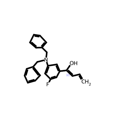 C=C/C=C(\O)c1cc(F)cc(N(Cc2ccccc2)Cc2ccccc2)c1